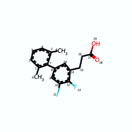 Cc1cccc(C)c1-c1cc(F)c(F)c(CCC(=O)O)c1